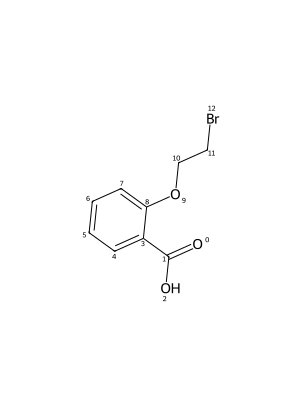 O=C(O)c1ccccc1OCCBr